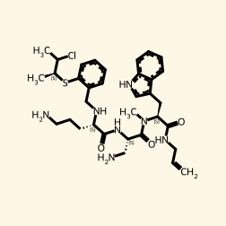 C=CCNC(=O)[C@H](Cc1c[nH]c2ccccc12)N(C)C(=O)[C@H](CN)NC(=O)[C@H](CCCN)NCc1ccccc1S[C@@H](C)C(C)Cl